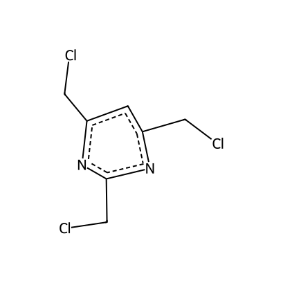 ClCc1cc(CCl)nc(CCl)n1